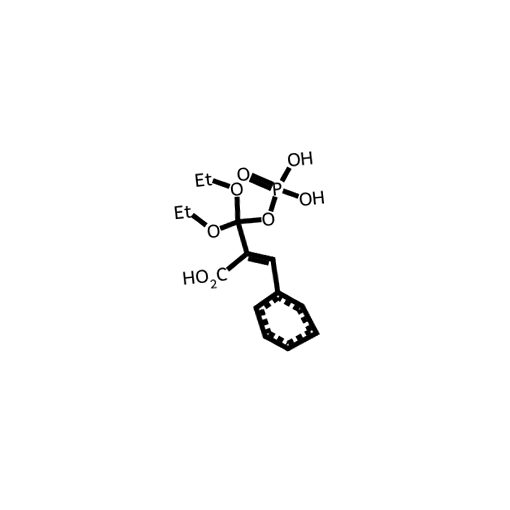 CCOC(OCC)(OP(=O)(O)O)C(=Cc1ccccc1)C(=O)O